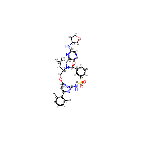 Cc1cccc(C)c1-c1cc2nc(n1)NS(=O)(=O)c1cccc(c1)C(=O)N(Cc1cncc(NC3CCOC3)n1)[C@H](CC(C)(C)C)CO2